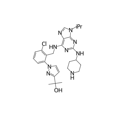 CC(C)n1cnc2c(NCc3c(Cl)cccc3-n3ccc(C(C)(C)O)n3)nc(NC3CCNCC3)nc21